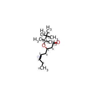 CC/C=C\CC(CC=O)O[Si](C)(C)C(C)(C)C